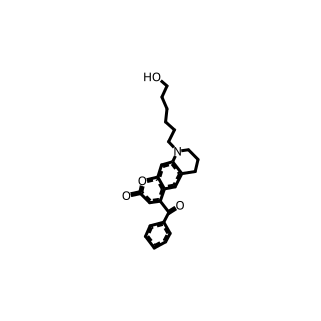 O=C(c1ccccc1)c1cc(=O)oc2cc3c(cc12)CCCN3CCCCCCO